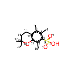 Cc1c(C)c(S(=O)(=O)O)c(C)c2c1CCC(C)(C)O2